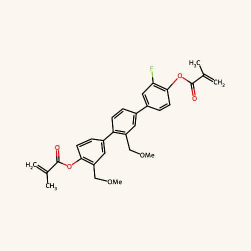 C=C(C)C(=O)Oc1ccc(-c2ccc(-c3ccc(OC(=O)C(=C)C)c(COC)c3)c(COC)c2)cc1F